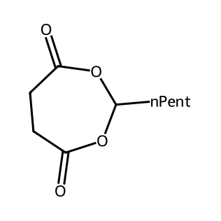 CCCCCC1OC(=O)CCC(=O)O1